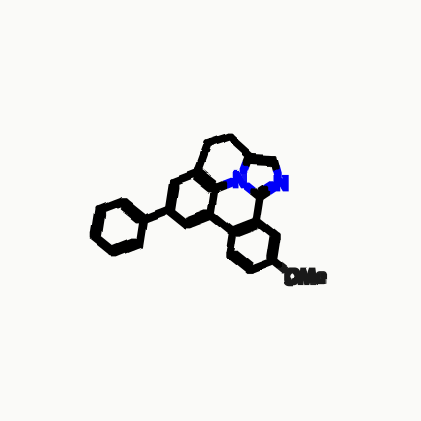 COc1ccc2c(c1)c1ncc3n1c1c(cc(-c4ccccc4)cc21)CC3